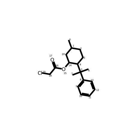 CC1CCC(C(C)(C)c2ccccc2)C(OC(=O)CCl)C1